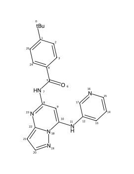 CC(C)(C)c1ccc(C(=O)Nc2cc(Nc3cccnc3)n3nccc3n2)cc1